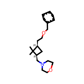 CC1(C)[C@@H](CCOCc2ccccc2)C[C@H]1CN1CCOCC1